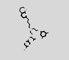 COc1cnc(N[C@@H](CCN(CCCCc2ccc3c(n2)NCCC3)CCOc2cc(F)cc(F)c2)C(=O)O)cn1